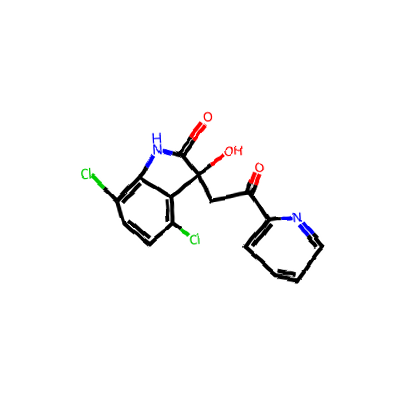 O=C(CC1(O)C(=O)Nc2c(Cl)ccc(Cl)c21)c1ccccn1